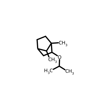 CC(C)OC1CC2CCC1(C)C2C